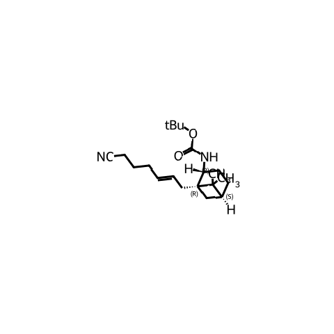 CC(C)(C)OC(=O)N[C@@H]1CC[C@H]2C[C@]1(CC=CCCCC#N)C2(C)C